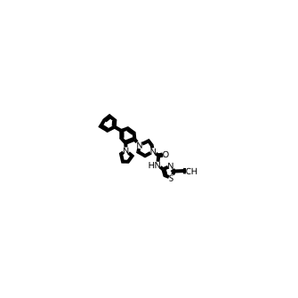 C#Cc1nc(NC(=O)N2CCN(c3ccc(-c4ccccc4)cc3N3CCCC3)CC2)cs1